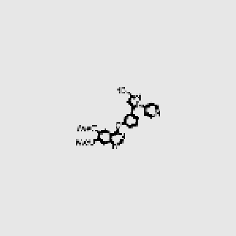 COc1cc2ncnc(Oc3cccc(-c4cc(C(C)(C)C)nn4-c4ccncc4)c3)c2cc1OC